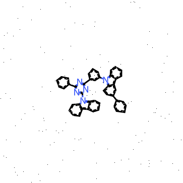 c1ccc(-c2ccc3c(c2)c2ccccc2n3-c2cccc(-c3nc(-c4ccccc4)nc(-n4c5ccccc5c5ccccc54)n3)c2)cc1